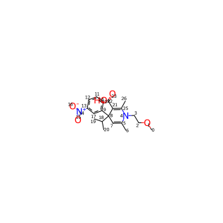 COCCN1C(C)=CC(c2cccc([N+](=O)[O-])c2)(C(C)C)C(C(=O)O)=C1C